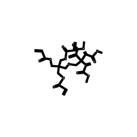 C=CC(=O)OCC(COCC(C(=C)C(=O)OC)(C(=C)C(=O)OC)C(=C)C(=O)OC)(COC(=O)C=C)COC(=O)C=C